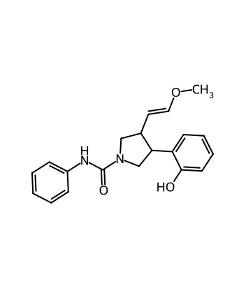 COC=CC1CN(C(=O)Nc2ccccc2)CC1c1ccccc1O